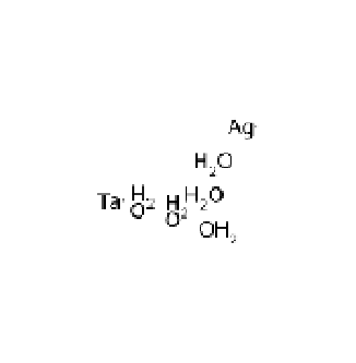 O.O.O.O.O.[Ag].[Ta]